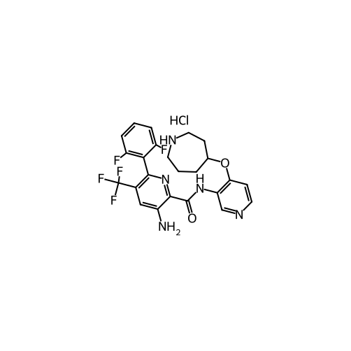 Cl.Nc1cc(C(F)(F)F)c(-c2c(F)cccc2F)nc1C(=O)Nc1cnccc1OC1CCCNCC1